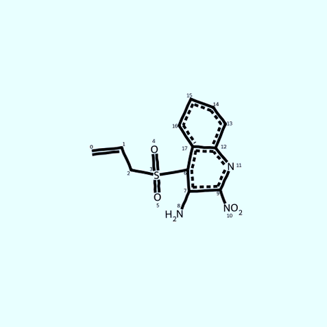 C=CCS(=O)(=O)c1c(N)c([N+](=O)[O-])nc2ccccc12